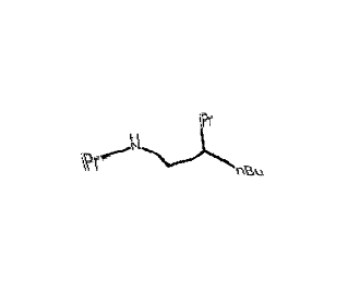 CCCCC(CNC(C)C)C(C)C